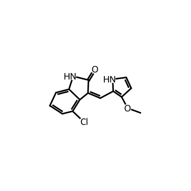 COc1cc[nH]c1C=C1C(=O)Nc2cccc(Cl)c21